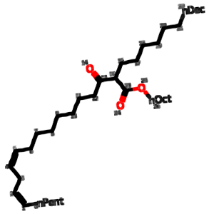 CCCCC/C=C\C/C=C\CCCCCCCC(=O)C(CCCCCCCCCCCCCCCC)C(=O)OCCCCCCCC